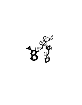 CSCC[C@@H](C(=O)O)N(C(=O)CNCc1cc(C2CC2)cc2ccccc12)n1cnc(CC(=O)N2CCCC2)c1